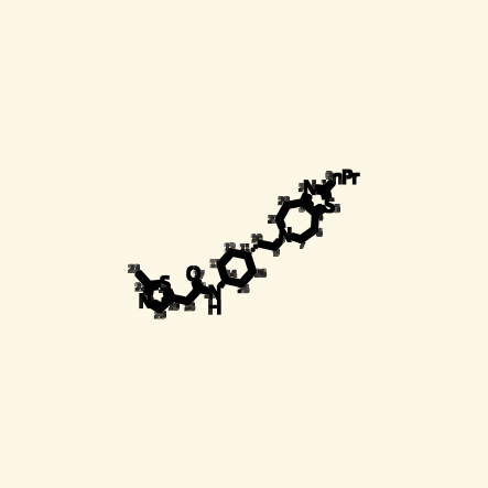 CCCc1nc2c(s1)CCN(CC[C@H]1CC[C@H](NC(=O)Cc3cnc(C)s3)CC1)CC2